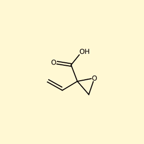 C=CC1(C(=O)O)CO1